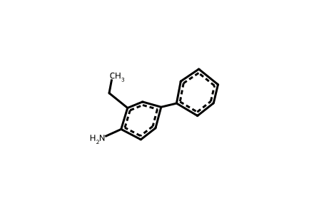 CCc1cc(-c2ccccc2)ccc1N